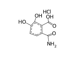 Cl.NC(=O)c1ccc(O)c(O)c1C(=O)O